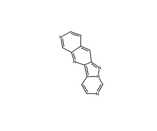 c1cc2cc3nn4cnccc4c3nc2cn1